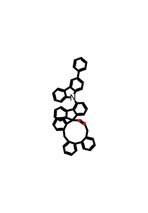 c1ccc(-c2ccc3c(c2)c2ccccc2n3-c2cccc3c2-c2ccccc2C32c3ccccc3Cc3ccccc3-c3ccccc3Cc3ccccc32)cc1